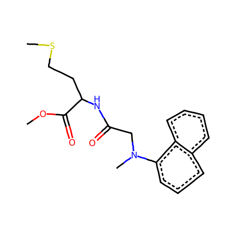 COC(=O)C(CCSC)NC(=O)CN(C)c1cccc2ccccc12